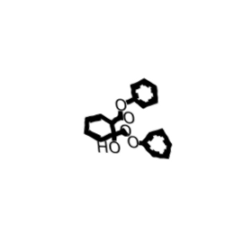 O=C(Oc1ccccc1)C1C=CC=CC1(O)C(=O)Oc1ccccc1